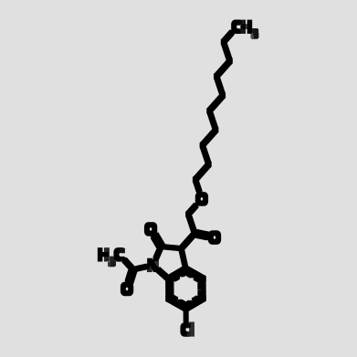 CCCCCCCCCCOCC(=O)C1C(=O)N(C(C)=O)c2cc(Cl)ccc21